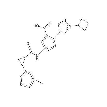 Cc1cccc(C2CC2C(=O)Nc2ccc(-c3cnn(C4CCC4)c3)c(C(=O)O)c2)c1